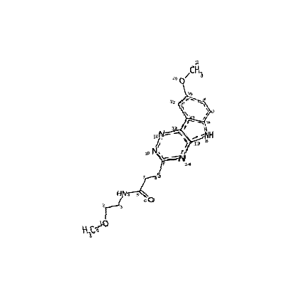 COCCNC(=O)CSc1nnc2c(n1)[nH]c1ccc(OC)cc12